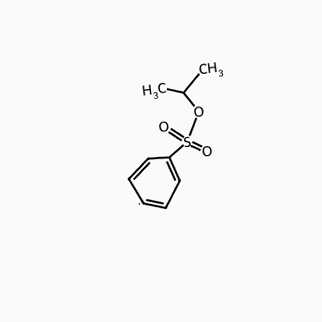 CC(C)OS(=O)(=O)c1cc[c]cc1